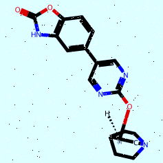 O=c1[nH]c2cc(-c3cnc(O[C@H]4CN5CCC4CC5)nc3)ccc2o1